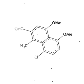 COc1ccc(Cl)c2c(C)c(C=O)cc(OC)c12